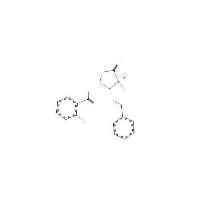 Cc1ccccc1C(=O)O[C@@H]1OC(=O)[C@](C)(F)[C@@H]1OCc1ccccc1